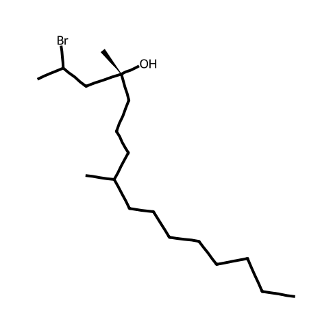 CCCCCCCCC(C)CCC[C@@](C)(O)CC(C)Br